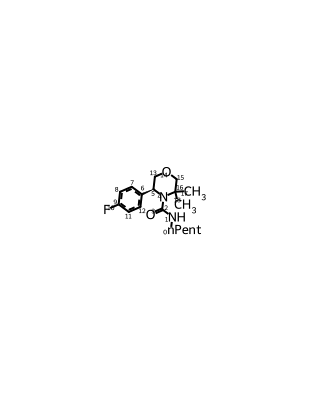 CCCCCNC(=O)N1[C@@H](c2ccc(F)cc2)COCC1(C)C